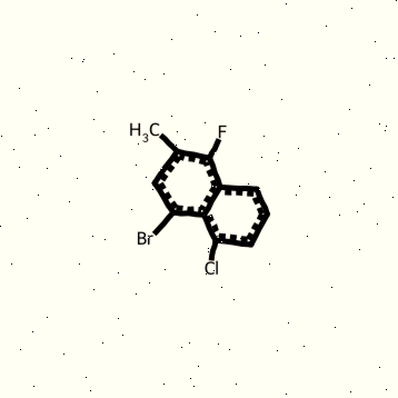 Cc1cc(Br)c2c(Cl)cccc2c1F